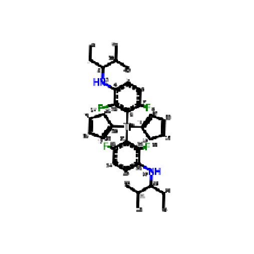 CCC(Nc1ccc(F)[c]([Ti]([C]2=CC=CC2)([C]2=CC=CC2)[c]2c(F)ccc(NC(CC)C(C)C)c2F)c1F)C(C)C